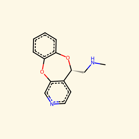 CNC[C@H]1Oc2ccccc2Oc2cnccc21